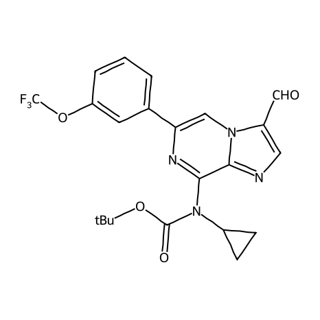 CC(C)(C)OC(=O)N(c1nc(-c2cccc(OC(F)(F)F)c2)cn2c(C=O)cnc12)C1CC1